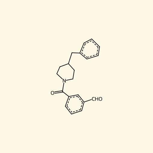 O=Cc1cccc(C(=O)N2CCC(Cc3ccccc3)CC2)c1